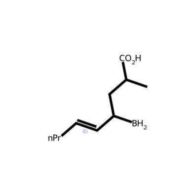 BC(/C=C/CCC)CC(C)C(=O)O